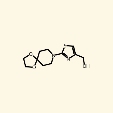 OCc1csc(N2CCC3(CC2)OCCO3)n1